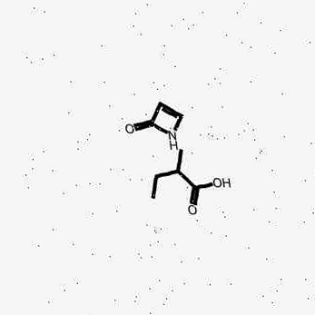 CCC(C)C(=O)O.O=C1C=CN1